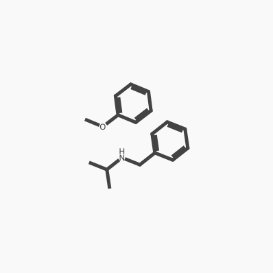 CC(C)NCc1ccccc1.COc1ccccc1